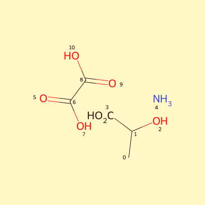 CC(O)C(=O)O.N.O=C(O)C(=O)O